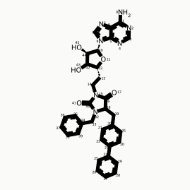 Nc1ncnc2c1ncn2[C@@H]1O[C@H](CCN2C(=O)C(Cc3ccc(-c4ccccc4)cc3)N(Cc3ccccc3)C2=O)C(O)[C@H]1O